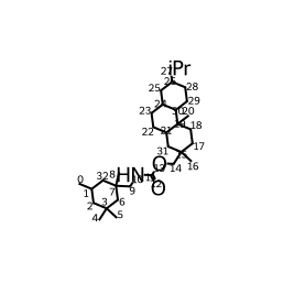 CC1CC(C)(C)CC(C)(CNC(=O)OCC2(C)CCC3(C)C(CCC4CC(C(C)C)CCC43)C2)C1